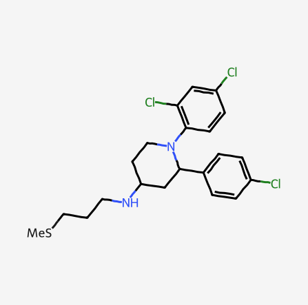 CSCCCNC1CCN(c2ccc(Cl)cc2Cl)C(c2ccc(Cl)cc2)C1